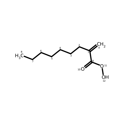 C=C(CCCCCCC)C(=O)OO